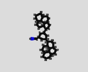 N#Cc1cc(-c2ccc3ccc4cccc5ccc2c3c45)cc(-c2ccc3ccc4cccc5ccc2c3c45)c1